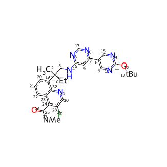 CC[C@@](C)(CNc1cc(-c2cnc(OC(C)(C)C)nc2)ncn1)c1cccc2c(C(=O)NC)c(F)cnc12